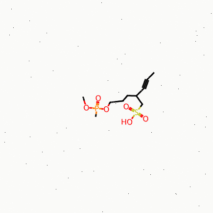 CC#CC(CCCOP(C)(=O)OC)CS(=O)(=O)O